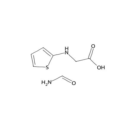 NC=O.O=C(O)CNc1cccs1